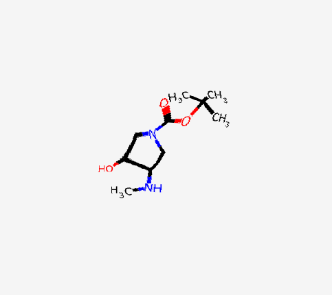 CNC1CN(C(=O)OC(C)(C)C)CC1O